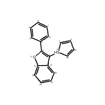 C1=C[SH](c2c(-c3ccccc3)oc3ccccc23)C=C1